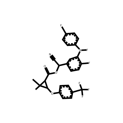 CC1(C)C(Oc2ccc(C(F)(F)F)cc2)C1C(=O)OC(C#N)c1ccc(F)c(N(F)c2ccc(F)cc2)c1